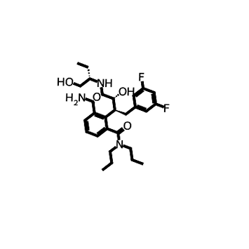 CCCN(CCC)C(=O)c1cccc(C(N)=O)c1[C@H](Cc1cc(F)cc(F)c1)[C@@H](O)CN[C@@H](CC)CO